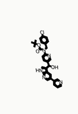 CC(C)(C)OC(=O)N(Cc1ccc(Cl)cc1)c1ccc(C(O)c2c[nH]c3ncc(-c4cccnc4)cc23)cn1